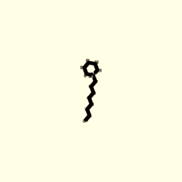 [CH2]CCCCCCCN1CCCCC1